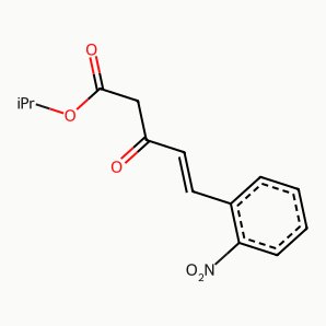 CC(C)OC(=O)CC(=O)C=Cc1ccccc1[N+](=O)[O-]